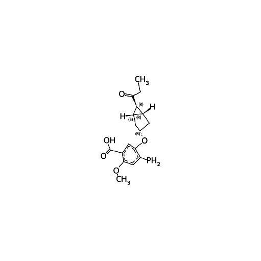 CCC(=O)[C@H]1[C@@H]2C[C@H](Oc3cc(C(=O)O)c(OC)cc3P)C[C@@H]21